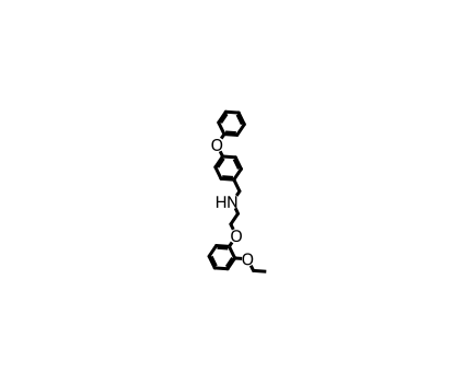 CCOc1ccccc1OCCNCc1ccc(Oc2ccccc2)cc1